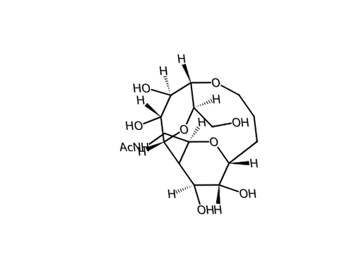 CC(=O)NC[C@H]1O[C@@H]2CCCO[C@H]3[C@H](O)[C@@H](O)[C@H](O[C@@H]3CO)C1[C@H](O)[C@H]2O